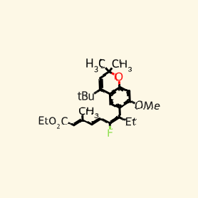 CCOC(=O)/C=C(C)/C=C/C(F)=C(/CC)c1cc2c(cc1OC)OC(C)(C)C=C2C(C)(C)C